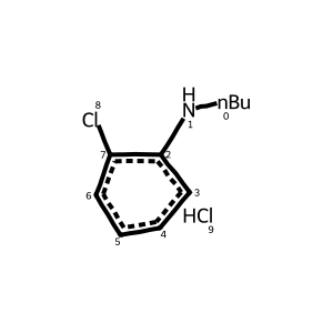 CCCCNc1ccccc1Cl.Cl